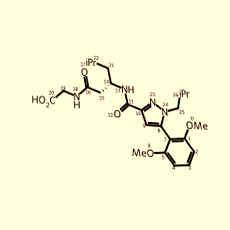 COc1cccc(OC)c1-c1cc(C(=O)N[C@H](CC(=O)NCC(=O)O)CC(C)C)nn1CC(C)C